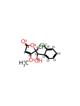 COC1=CC(=O)OC1(C)C(O)c1ccccc1Cl